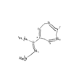 CON=C(N)c1cccnc1